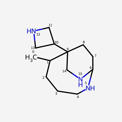 CC1CCCNC2CCC1(C1CNC1)CN2